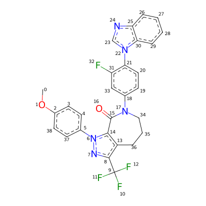 COc1ccc(-n2nc(C(F)(F)F)c3c2C(=O)N(c2ccc(-n4cnc5ccccc54)c(F)c2)CCC3)cc1